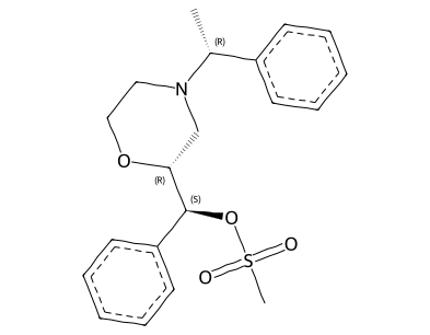 C[C@H](c1ccccc1)N1CCO[C@@H]([C@@H](OS(C)(=O)=O)c2ccccc2)C1